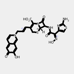 Nc1nc(/C(=N/O)C(=O)NC2C(=O)N3C(C(=O)O)=C(/C=C/Cn4ccc5cc(=O)c(O)cc-5c4)CS[C@@H]23)cs1